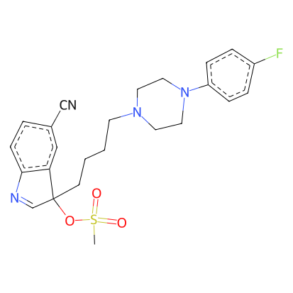 CS(=O)(=O)OC1(CCCCN2CCN(c3ccc(F)cc3)CC2)C=Nc2ccc(C#N)cc21